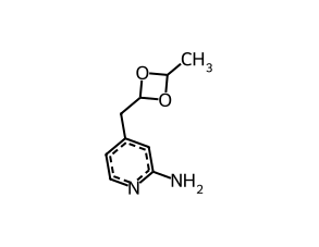 CC1OC(Cc2ccnc(N)c2)O1